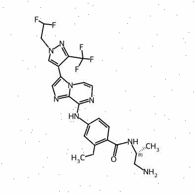 CCc1cc(Nc2nccn3c(-c4cn(CC(F)F)nc4C(F)(F)F)cnc23)ccc1C(=O)N[C@H](C)CN